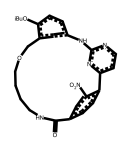 CC(C)COc1ccc2cc1COCCCCNC(=O)c1ccc(c([N+](=O)[O-])c1)-c1ccnc(n1)N2